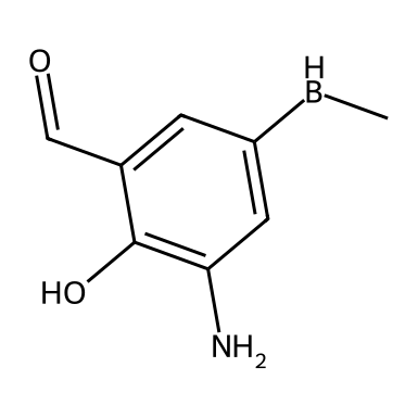 CBc1cc(N)c(O)c(C=O)c1